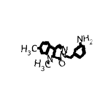 Cc1ccc2c3cnn(Cc4cccc(N)c4)c(=O)c3n(C)c2c1